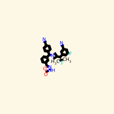 CC(C)(F)[C@H](c1cc(F)cc(C#N)c1)C1CN(C(c2ccc(C#N)cc2)c2cccc(-c3n[nH]c(=O)o3)c2)C1